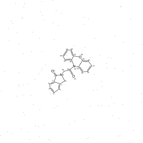 O=C1c2ccccc2CN1CC(=O)N1c2ccccc2Oc2ccccc21